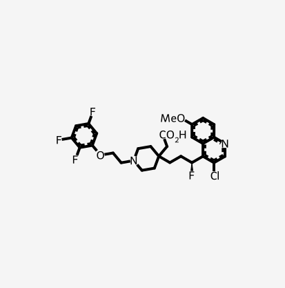 COc1ccc2ncc(Cl)c([C@@H](F)CCC3(CC(=O)O)CCN(CCOc4cc(F)cc(F)c4F)CC3)c2c1